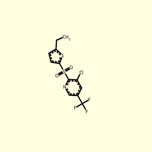 CCc1ccc(S(=O)(=O)c2ncc(C(F)(F)F)cc2Cl)s1